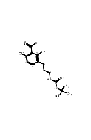 CC(C)(C)OC(=O)NCCCc1ccc(Cl)c(C(=O)O)c1F